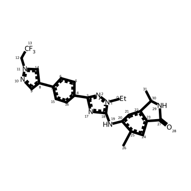 CCn1nc(-c2ccc(-c3cnn(CC(F)(F)F)c3)cc2)nc1Nc1cc2c(cc1C)C(=O)NC2C